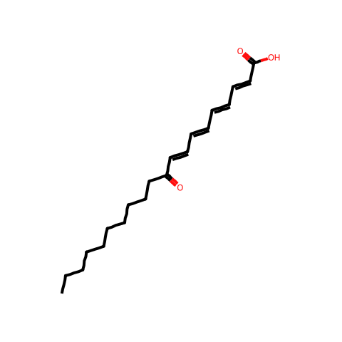 CCCCCCCCCCC(=O)/C=C/C=C/C=C/C=C/C(=O)O